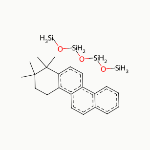 CC1(C)CCc2c(ccc3c2ccc2ccccc23)C1(C)C.[SiH3]O[SiH2]O[SiH2]O[SiH3]